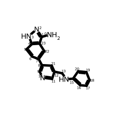 Nc1n[nH]c2ccc(-c3cncc(CNc4ccccc4)c3)cc12